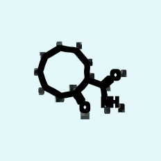 NC(=O)C1CCCCCCCC1=O